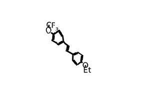 CCOc1ccc(/C=C/c2ccc(OC(F)(F)F)cc2)cc1